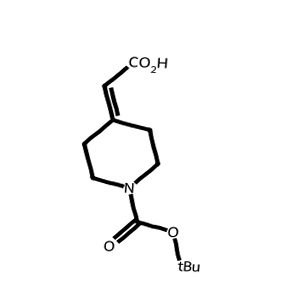 CC(C)(C)OC(=O)N1CCC(=CC(=O)O)CC1